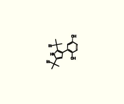 CCC(C)(C)c1cc(-c2cc(O)ccc2O)c(C(C)(C)CC)[nH]1